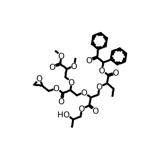 CCC(OCC(OCC(OCC(OC)C(=O)OC)C(=O)OCC1CO1)C(=O)OCC(C)O)C(=O)OC(C(=O)c1ccccc1)c1ccccc1